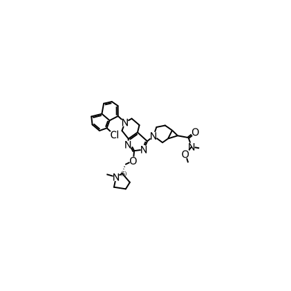 CON(C)C(=O)C1C2CCN(c3nc(OC[C@@H]4CCCN4C)nc4c3CCN(c3cccc5cccc(Cl)c35)C4)CC21